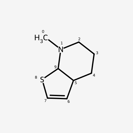 CN1CCCC2C=CSC21